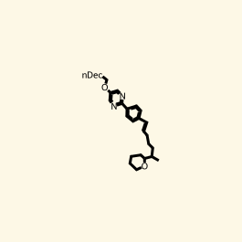 CCCCCCCCCCCOc1cnc(-c2ccc(/C=C/CCCC(C)C3CCCCO3)cc2)nc1